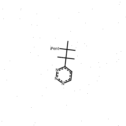 CCCC(C)C(C)(C)C(C)(C)c1ccnnn1